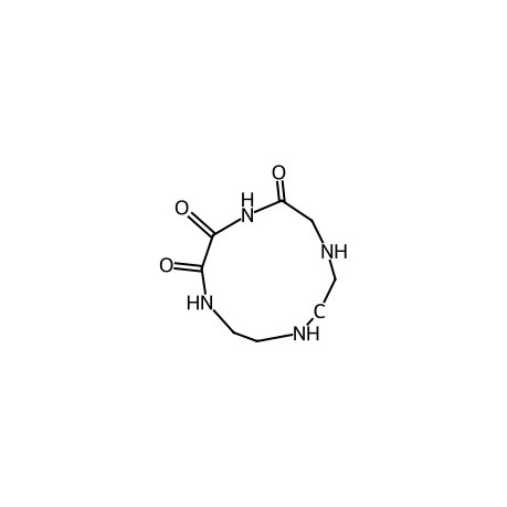 O=C1CNCCNCCNC(=O)C(=O)N1